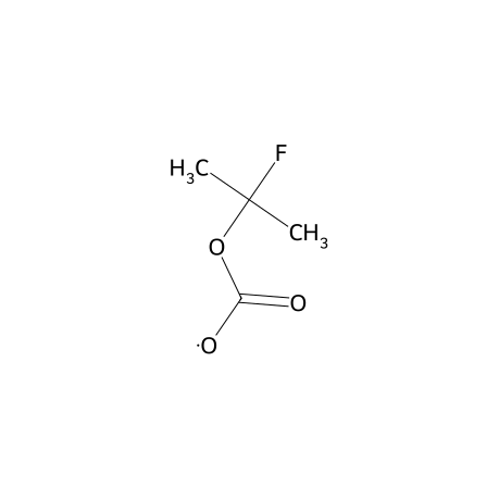 CC(C)(F)OC([O])=O